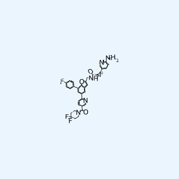 Nc1ccc([C@H]2C[C@@H]2C(=O)NCc2cc3cc(-c4ccc(C(=O)N5CCC(F)(F)CC5)cn4)cc(-c4ccc(F)cc4)c3o2)cn1